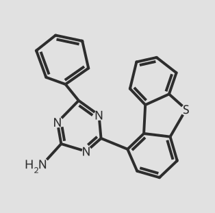 Nc1nc(-c2ccccc2)nc(-c2cccc3sc4ccccc4c23)n1